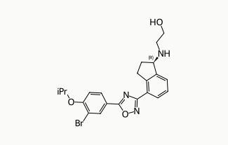 CC(C)Oc1ccc(-c2nc(-c3cccc4c3CC[C@H]4NCCO)no2)cc1Br